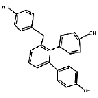 Oc1ccc(Cc2cccc(-c3ccc(O)cc3)c2-c2ccc(O)cc2)cc1